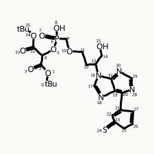 CC(C)(C)OC(=O)C(OP(=O)(O)COCCC(CO)n1cnc2c(C3=CC(=S)CC=C3)ncnc21)C(=O)OC(C)(C)C